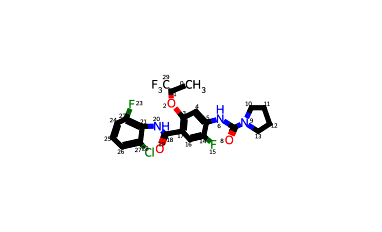 C[C@H](Oc1cc(NC(=O)N2CCCC2)c(F)cc1C(=O)Nc1c(F)cccc1Cl)C(F)(F)F